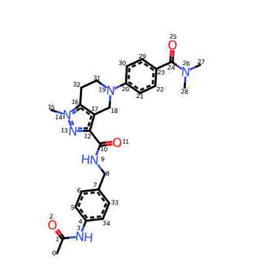 CC(=O)Nc1ccc(CNC(=O)c2nn(C)c3c2CN(c2ccc(C(=O)N(C)C)cc2)CC3)cc1